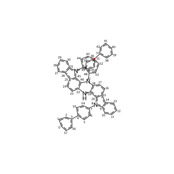 c1ccc(-c2ccc(-n3c4ccccc4c4ccc5c(c43)Nc3ccc4c6ccccc6n(-c6ccc(-c7ccccc7)cc6)c4c3N5c3ccccc3)cc2)cc1